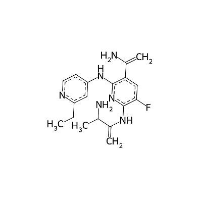 C=C(N)c1cc(F)c(NC(=C)C(C)N)nc1Nc1ccnc(CC)c1